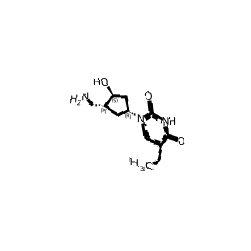 CCc1cn([C@@H]2C[C@H](CN)[C@@H](O)C2)c(=O)[nH]c1=O